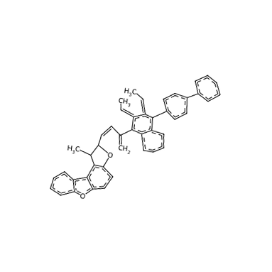 C=C(/C=C\C1Oc2ccc3oc4ccccc4c3c2C1C)c1c(=C/C)/c(=C\C)c(-c2ccc(-c3ccccc3)cc2)c2ccccc12